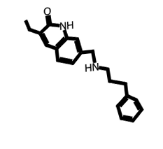 CCc1cc2ccc(CNCCCc3ccccc3)cc2[nH]c1=O